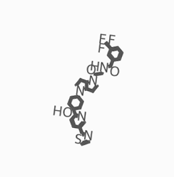 O=C(NCC(=O)N1CCC2C1CCN2C1CCC(O)(c2ccc(-c3nccs3)cn2)CC1)c1cccc(C(F)(F)F)c1